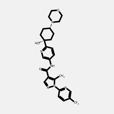 Cc1c(C(=O)Nc2ccc([C@]3(O)CC[C@@H](N4CCOCC4)CC3)nc2)cnn1-c1ccc(C(F)(F)F)cn1